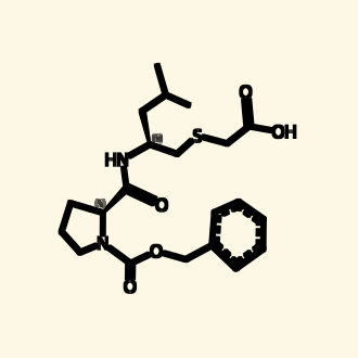 CC(C)C[C@@H](CSCC(=O)O)NC(=O)[C@@H]1CCCN1C(=O)OCc1ccccc1